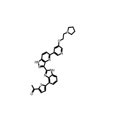 CC(=O)c1ccc(-c2cccc3[nH]c(-c4n[nH]c5ccc(-c6cncc(OCCN7CCCC7)c6)nc45)nc23)s1